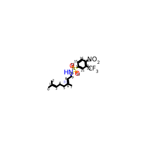 CC(C)=CCC/C(C)=C/CNS(=O)(=O)c1ccc([N+](=O)[O-])c(C(F)(F)F)c1